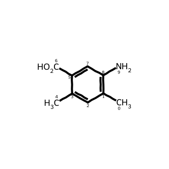 Cc1cc(C)c(C(=O)O)cc1N